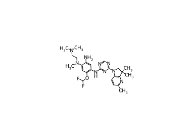 Cc1ccc2c(n1)C(C)(C)CN2c1ncnc(Nc2cc(N)c(N(C)CCN(C)C)cc2OC(F)F)n1